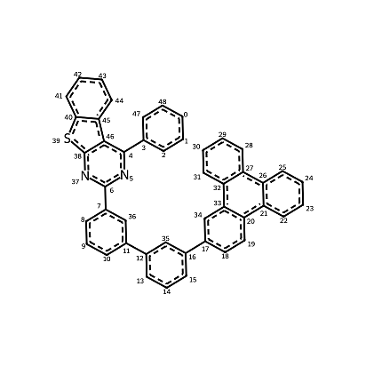 c1ccc(-c2nc(-c3cccc(-c4cccc(-c5ccc6c7ccccc7c7ccccc7c6c5)c4)c3)nc3sc4ccccc4c23)cc1